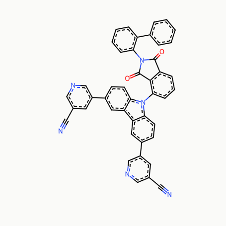 N#Cc1cncc(-c2ccc3c(c2)c2cc(-c4cncc(C#N)c4)ccc2n3-c2cccc3c2C(=O)N(c2ccccc2-c2ccccc2)C3=O)c1